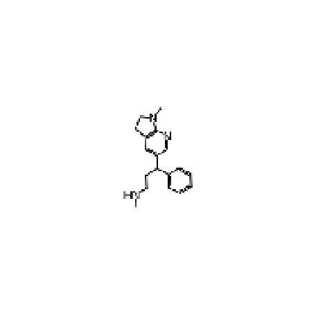 CNCCC(c1ccccc1)c1cnc2c(c1)CCN2C